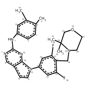 Cc1ccc(Nc2ncc3ccn(-c4cc(F)c(CN5CCOCC5(C)C)c(F)c4)c3n2)cc1C